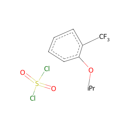 CC(C)Oc1ccccc1C(F)(F)F.O=S(=O)(Cl)Cl